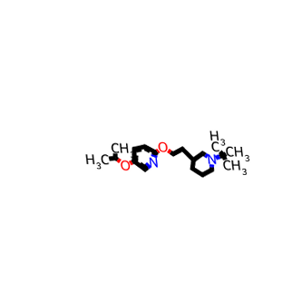 CC(C)Oc1ccc(OCCC2CCCN(C(C)(C)C)C2)nc1